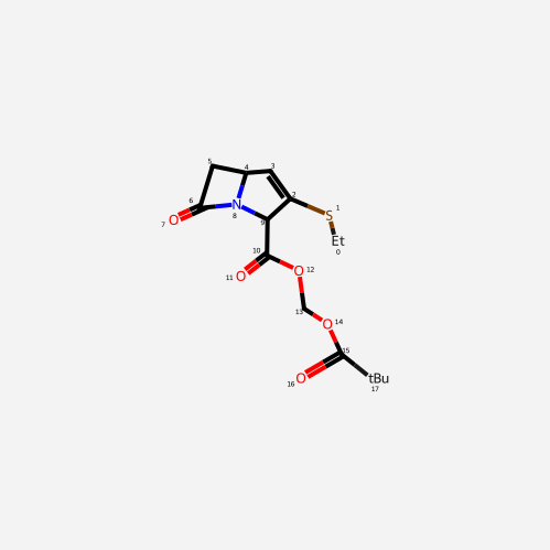 CCSC1=CC2CC(=O)N2C1C(=O)OCOC(=O)C(C)(C)C